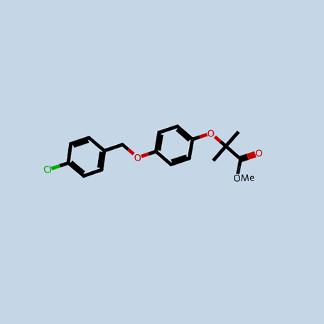 COC(=O)C(C)(C)Oc1ccc(OCc2ccc(Cl)cc2)cc1